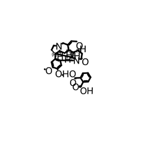 COc1cc2c(cc1OC)[C@@]13CCN4CC5=CCO[C@H]6CC(=O)N2[C@H]1[C@H]6[C@H]5C[C@H]43.O=C(O)c1ccccc1C(=O)O